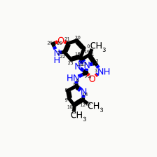 CC1=C2NOC(Nc3ccc(C)c(C)n3)(N=C1)N2c1ccc2c(c1)NCO2